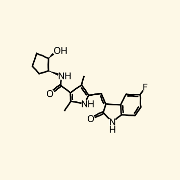 Cc1[nH]c(/C=C2\C(=O)Nc3ccc(F)cc32)c(C)c1C(=O)N[C@H]1CCC[C@H]1O